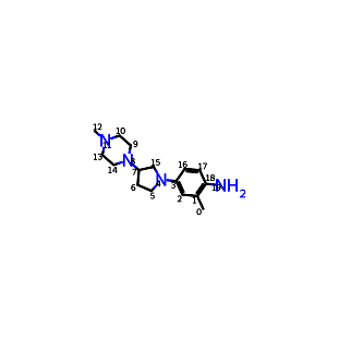 Cc1cc(N2CCC(N3CCN(C)CC3)C2)ccc1N